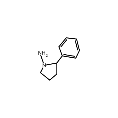 NN1CCCC1c1ccccc1